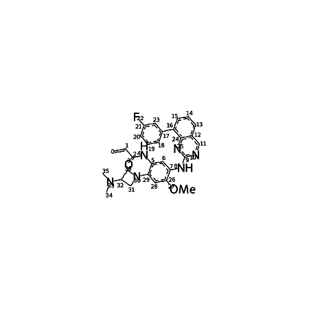 C=CC(=O)Nc1cc(Nc2ncc3cccc(-c4cccc(F)c4)c3n2)c(OC)cc1N1CC(N(C)C)C1